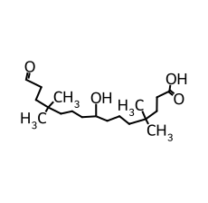 CC(C)(CCC=O)CCCC(O)CCCC(C)(C)CCC(=O)O